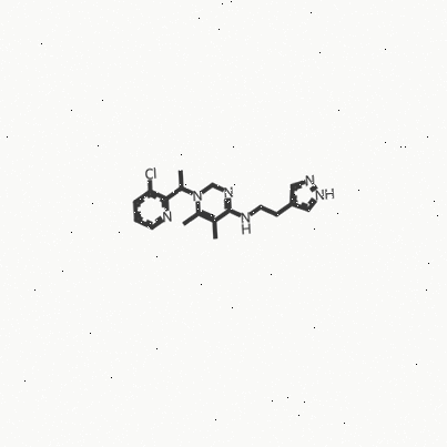 CC1=C(C)N(C(C)c2ncccc2Cl)CN=C1NCCc1cn[nH]c1